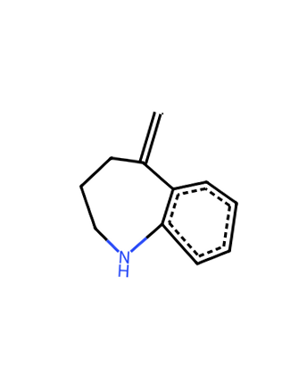 [CH]=C1CCCNc2ccccc21